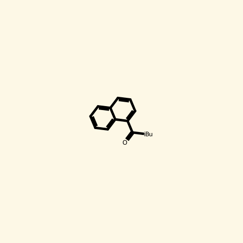 CCC(C)C(=O)c1cccc2ccccc12